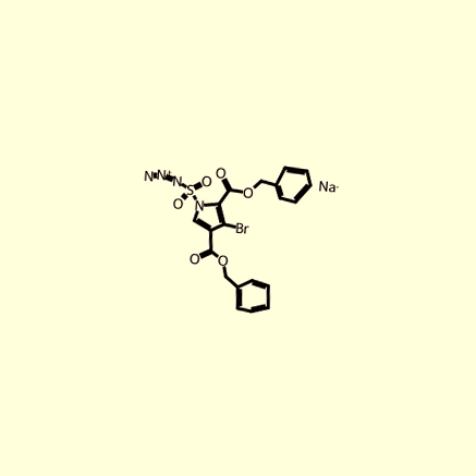 [N-]=[N+]=NS(=O)(=O)n1cc(C(=O)OCc2ccccc2)c(Br)c1C(=O)OCc1ccccc1.[Na]